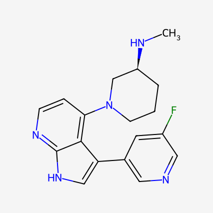 CN[C@H]1CCCN(c2ccnc3[nH]cc(-c4cncc(F)c4)c23)C1